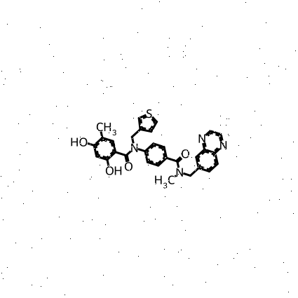 Cc1cc(C(=O)N(Cc2ccsc2)c2ccc(C(=O)N(C)Cc3ccc4nccnc4c3)cc2)c(O)cc1O